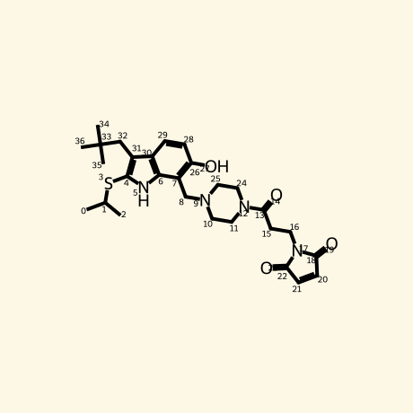 CC(C)Sc1[nH]c2c(CN3CCN(C(=O)CCN4C(=O)C=CC4=O)CC3)c(O)ccc2c1CC(C)(C)C